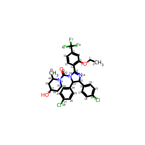 CCOc1cc(C(F)(F)F)ccc1C1=NC(c2ccc(Cl)cc2)C(c2ccc(Cl)cc2)N1C(=O)N1CCC(O)CC1C